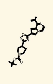 C=C(C)c1nccn2cc(-c3nc(C4CCN(C(=O)OC(C)(C)C)CC4)no3)cc12